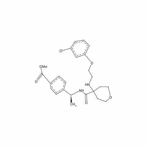 COC(=O)c1ccc([C@H](C)NC(=O)C2(NCCOc3cccc(Cl)c3)CCOCC2)cc1